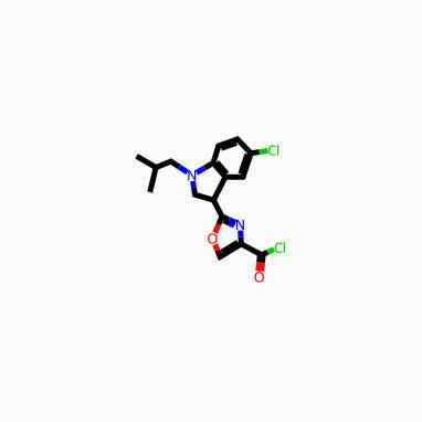 CC(C)CN1CC(c2nc(C(=O)Cl)co2)c2cc(Cl)ccc21